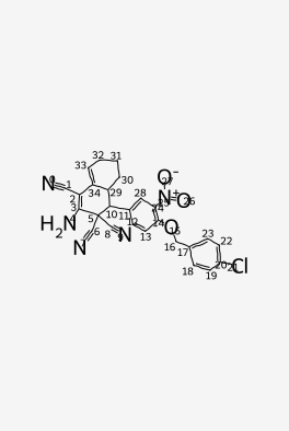 N#CC1=C(N)C(C#N)(C#N)C(c2ccc(OCc3ccc(Cl)cc3)c([N+](=O)[O-])c2)C2CCCC=C12